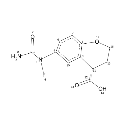 NC(=O)N(F)c1ccc2c(c1)[C@@H](C(=O)O)CCO2